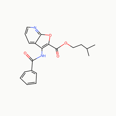 CC(C)CCOC(=O)c1oc2ncccc2c1NC(=O)c1ccccc1